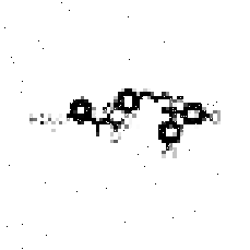 CC(c1cccc(C(=O)O)c1)C(Oc1ccc(CCCN(C)C(C)(c2ccc(Cl)cc2)c2ccc(Cl)cc2)cc1)C(=O)C(F)(F)F